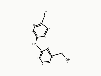 OCc1cccc(Nc2ccc(Cl)cc2)c1